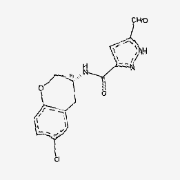 O=Cc1cc(C(=O)N[C@H]2COc3ccc(Cl)cc3C2)n[nH]1